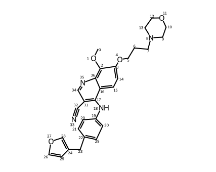 COc1c(OCCCN2CCOCC2)ccc2c(Nc3ccc(Cc4ccoc4)cc3)c(C#N)cnc12